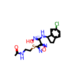 CC(=O)NCCSc1nonc1/C(=N\O)NC1CCc2ccc(Cl)cc21